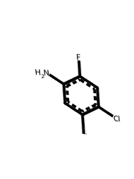 [CH2]c1cc(N)c(F)cc1Cl